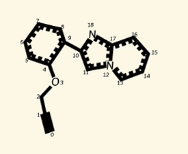 C#CCOc1ccccc1-c1cn2ccccc2n1